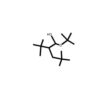 CC(C)(C)CC(C(O)OC(C)(C)C)C(C)(C)C